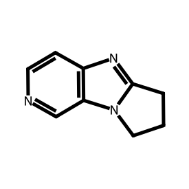 c1cc2nc3n(c2cn1)CCC3